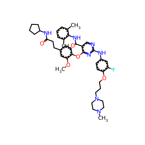 COc1cc(CCC(=O)NC2CCCC2)ccc1Oc1nc(Nc2ccc(OCCCN3CCN(C)CC3)c(F)c2)ncc1C(=O)Nc1c(C)cccc1C